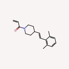 C=CC(=O)N1CCC(/C=C/c2c(C)cccc2C)CC1